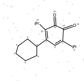 CC(C)C1=CC(C2CCCCC2)=C(C(C)C)C(=O)C1=O